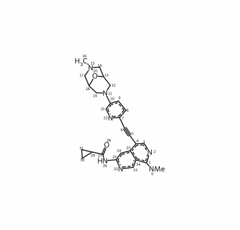 CNc1ncc(C#Cc2ccc(N3CC4CN(C)CC(C3)O4)cn2)c2cc(NC(=O)C3CC3)ncc12